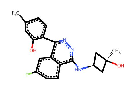 C[C@]1(O)C[C@@H](Nc2nnc(-c3ccc(C(F)(F)F)cc3O)c3cc(F)ccc23)C1